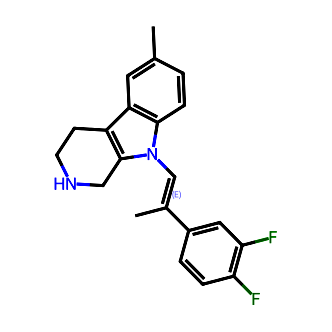 C/C(=C\n1c2c(c3cc(C)ccc31)CCNC2)c1ccc(F)c(F)c1